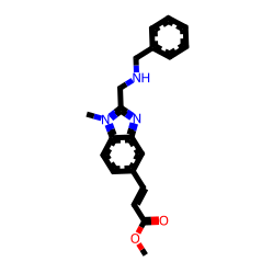 COC(=O)/C=C/c1ccc2c(c1)nc(CNCc1ccccc1)n2C